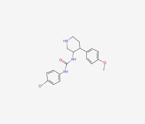 COc1ccc(C2CCNCC2NC(=O)Nc2ccc(Cl)cc2)cc1